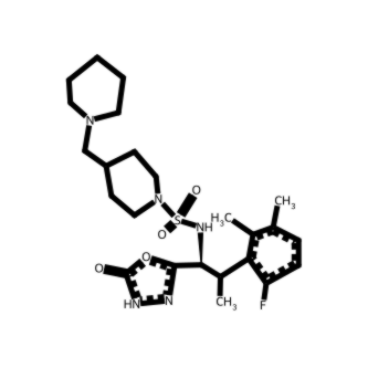 Cc1ccc(F)c(C(C)[C@H](NS(=O)(=O)N2CCC(CN3CCCCC3)CC2)c2n[nH]c(=O)o2)c1C